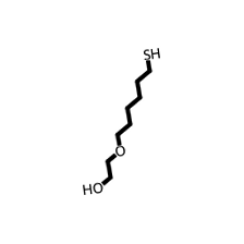 OCCOCCCCCCS